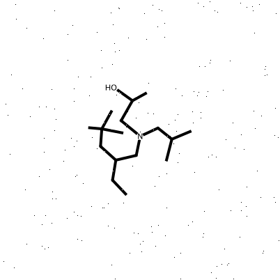 CCC(CN(CC(C)C)CC(C)O)CC(C)(C)C